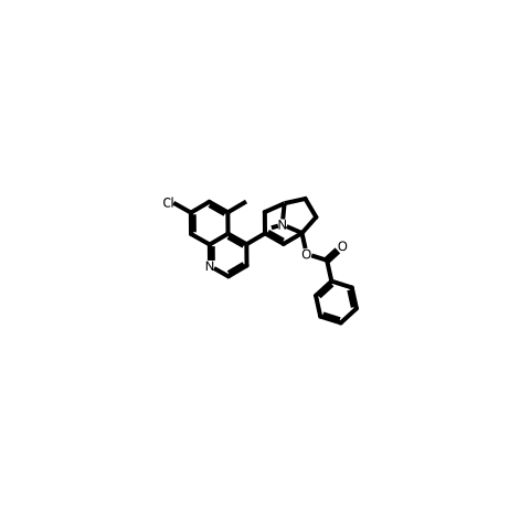 Cc1cc(Cl)cc2nccc(C3=CC4(OC(=O)c5ccccc5)CCC(C3)N4C)c12